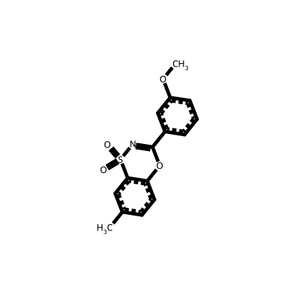 COc1cccc(C2=NS(=O)(=O)c3cc(C)ccc3O2)c1